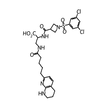 O=C(CCCCc1ccc2c(n1)NCCC2)NCC(NC(=O)C1CN(S(=O)(=O)c2cc(Cl)cc(Cl)c2)C1)C(=O)O